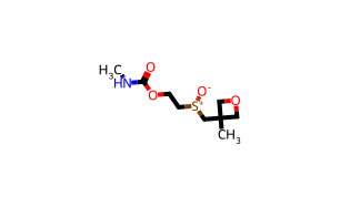 CNC(=O)OCC[S+]([O-])CC1(C)COC1